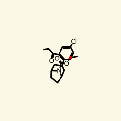 CCOC(=O)N1C2CCC1CC(c1ccc(Cl)cc1C(=O)CC)C2